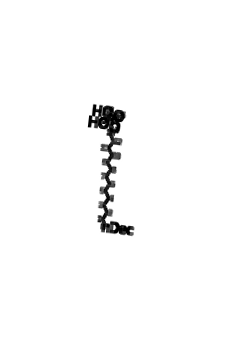 CCCCCCCCCCCCCCCCCCCCCCCOP(=O)(O)O